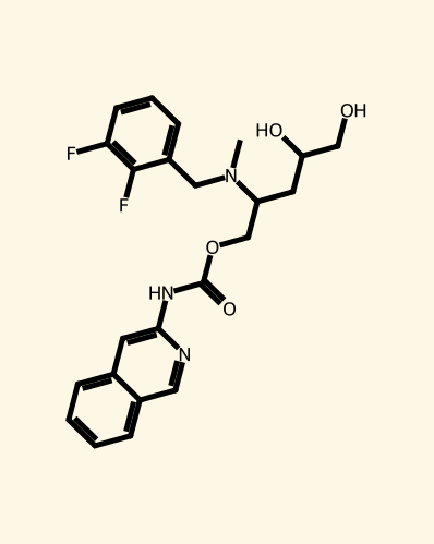 CN(Cc1cccc(F)c1F)C(COC(=O)Nc1cc2ccccc2cn1)CC(O)CO